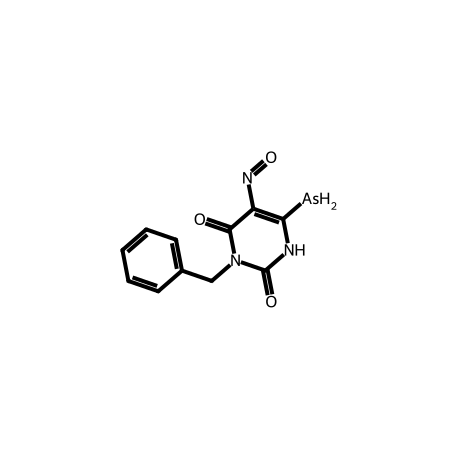 O=Nc1c([AsH2])[nH]c(=O)n(Cc2ccccc2)c1=O